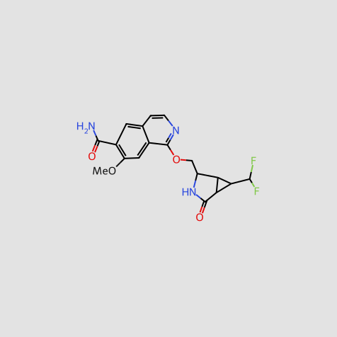 COc1cc2c(OCC3NC(=O)C4C(C(F)F)C34)nccc2cc1C(N)=O